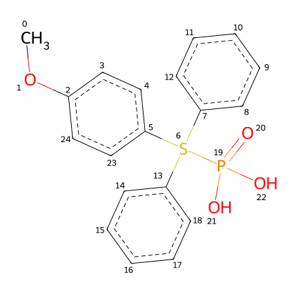 COc1ccc(S(c2ccccc2)(c2ccccc2)P(=O)(O)O)cc1